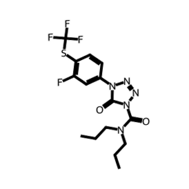 CCCN(CCC)C(=O)n1nnn(-c2ccc(SC(F)(F)F)c(F)c2)c1=O